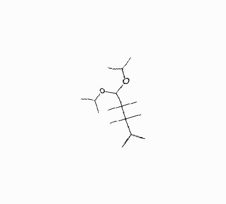 CC(C)OC(OC(C)C)C(C)(C)C(C)(C)C(C)C